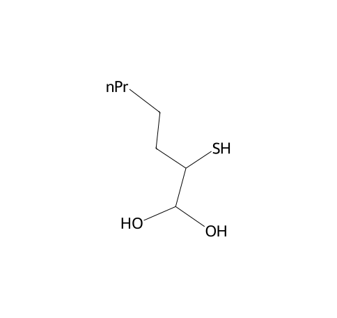 CCCCCC(S)C(O)O